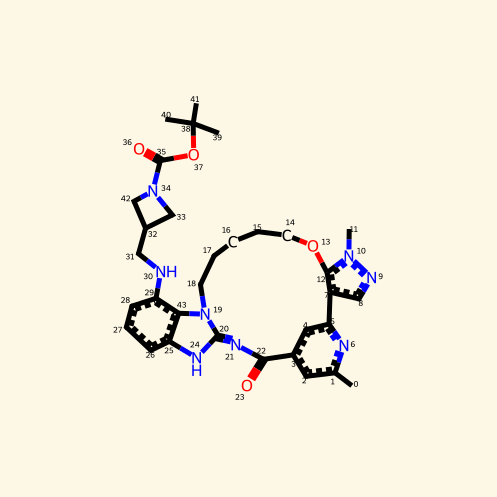 Cc1cc2cc(n1)-c1cnn(C)c1OCCCCCN1/C(=N/C2=O)Nc2cccc(NCC3CN(C(=O)OC(C)(C)C)C3)c21